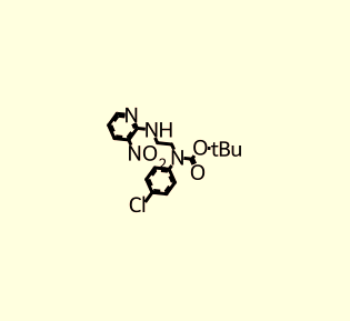 CC(C)(C)OC(=O)N(CCNc1ncccc1[N+](=O)[O-])c1ccc(Cl)cc1